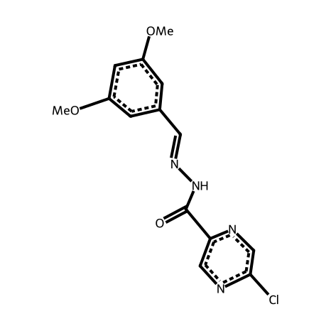 COc1cc(C=NNC(=O)c2cnc(Cl)cn2)cc(OC)c1